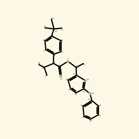 CC(SC(=O)C(c1ccc(C(C)(C)C)cc1)C(C)C)c1cccc(Oc2ccccc2)n1